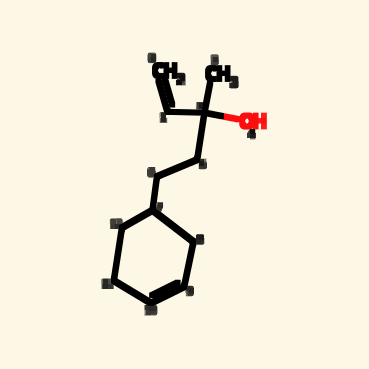 C=CC(C)(O)CCC1CC=CCC1